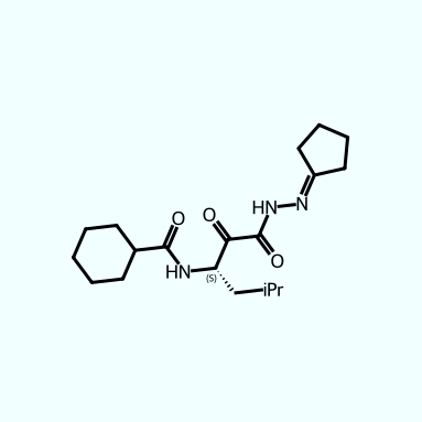 CC(C)C[C@H](NC(=O)C1CCCCC1)C(=O)C(=O)NN=C1CCCC1